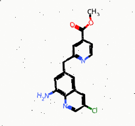 COC(=O)c1ccnc(Cc2cc(N)c3ncc(Cl)cc3c2)c1